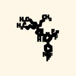 CCC[CH2][Sn]([CH2]CCC)([CH2]CCC)[c]1c[nH]c(-c2nc(-c3ccc(C(F)(F)F)cc3)cc(C(F)(F)F)n2)n1